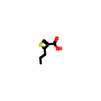 CCCC1SC=C1C(=O)O